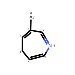 CC(=O)C1=CCC=CN=C1